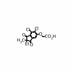 CCC1(C)C(=O)c2cc(OCC(=O)O)c(Cl)c(Cl)c2C1=O